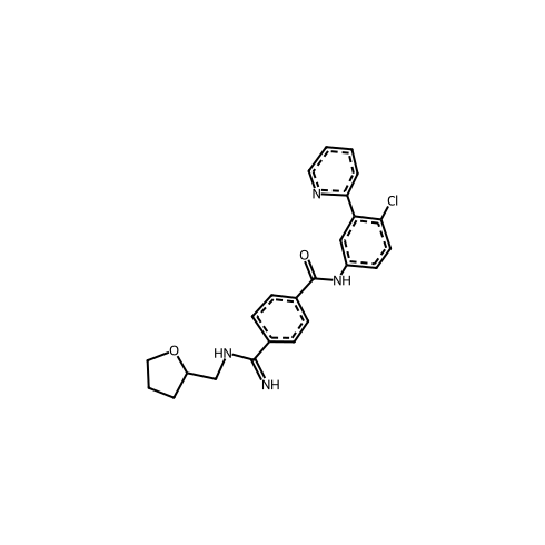 N=C(NCC1CCCO1)c1ccc(C(=O)Nc2ccc(Cl)c(-c3ccccn3)c2)cc1